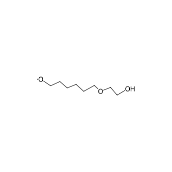 [O]CCCCCCOCCO